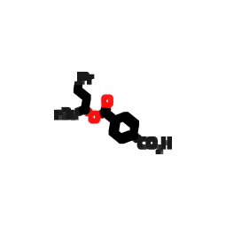 CCCCC(CCC(C)C)OC(=O)c1ccc(C(=O)O)cc1